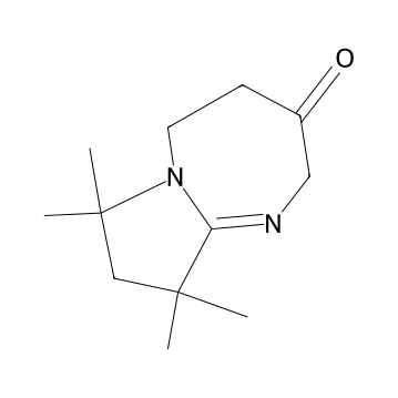 CC1(C)CC(C)(C)N2CCC(=O)CN=C21